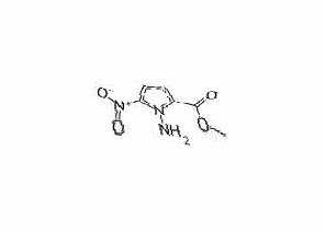 COC(=O)c1ccc([N+](=O)[O-])n1N